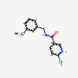 O=C(O)c1cccc(CNC(=O)c2ccc(Cl)nc2)c1